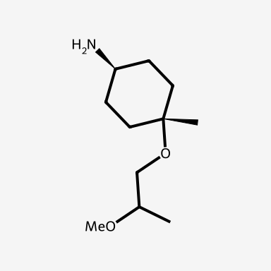 COC(C)CO[C@]1(C)CC[C@@H](N)CC1